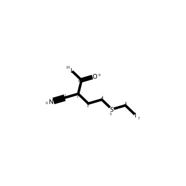 N#CC(CCSCI)C(=O)I